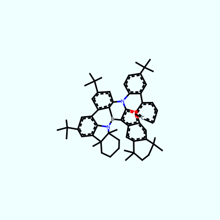 CC(C)(C)c1ccc(N2c3cc(C(C)(C)C)cc4c3B(c3c2oc2cc5c(cc32)C(C)(C)CCC5(C)C)N2c3c-4cc(C(C)(C)C)cc3C3(C)CCCCC23C)c(-c2ccccc2)c1